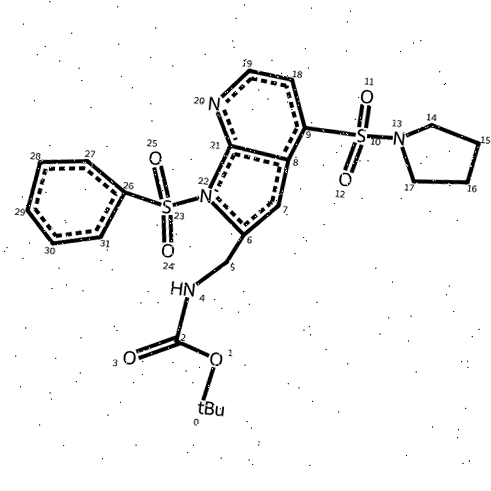 CC(C)(C)OC(=O)NCc1cc2c(S(=O)(=O)N3CCCC3)ccnc2n1S(=O)(=O)c1ccccc1